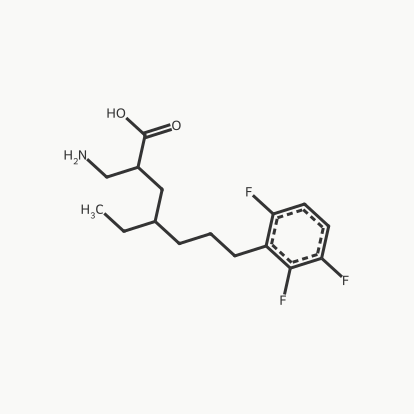 CCC(CCCc1c(F)ccc(F)c1F)CC(CN)C(=O)O